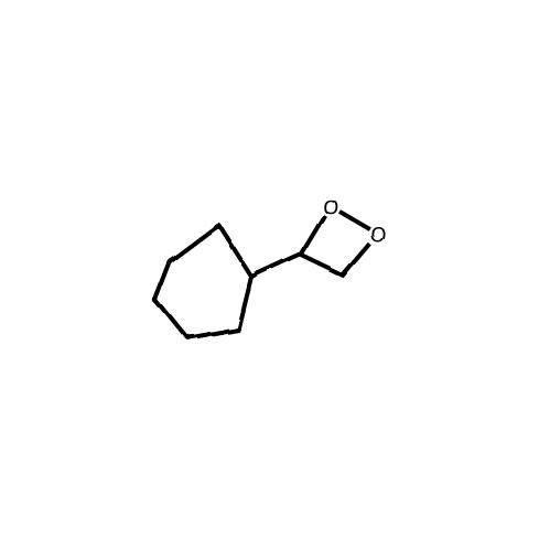 C1CCC(C2COO2)CC1